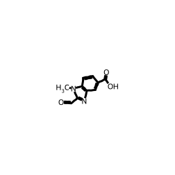 Cn1c(C=O)nc2cc(C(=O)O)ccc21